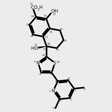 Cc1cc(C)nc(-c2cnc([C@@]3(O)CCCc4c3ccc(C(=O)O)c4O)s2)c1